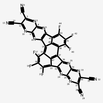 N#Cc1nc2nc3c(nc2nc1C#N)c1c2c(F)c(F)c(F)c4c5nc6nc(C#N)c(C#N)nc6nc5c(c5c(F)c(F)c(F)c3c51)c42